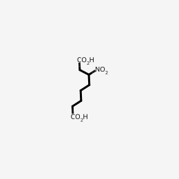 O=C(O)CCCCC(CC(=O)O)[N+](=O)[O-]